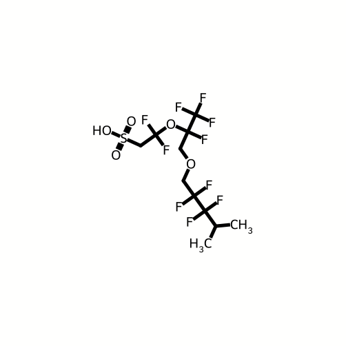 CC(C)C(F)(F)C(F)(F)COCC(F)(OC(F)(F)CS(=O)(=O)O)C(F)(F)F